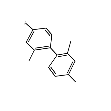 Cc1ccc(-c2ccc(I)cc2C)c(C)c1